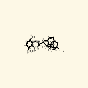 CC12CC3(C)CC4(C=CC(=O)[C@@](C)(CCC(=O)Nc5c(O)ccc(C(=O)O)c5O)C4C3O1)C2